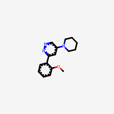 COc1ccccc1-c1cc(N2CCCCC2)cnn1